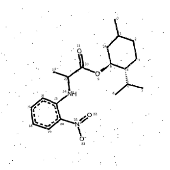 CC1CC[C@H](C(C)C)[C@@H](OC(=O)C(C)Nc2ccccc2[N+](=O)[O-])C1